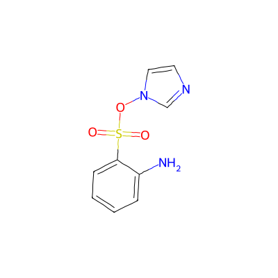 Nc1ccccc1S(=O)(=O)On1ccnc1